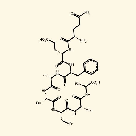 CC[C@H](C)[C@H](NC(=O)[C@@H](NC(=O)[C@H](CC(C)C)NC(=O)[C@@H](NC(=O)[C@H](C)NC(=O)[C@H](Cc1ccccc1)NC(=O)[C@H](CCC(=O)O)NC(=O)[C@@H](N)CCC(N)=O)[C@@H](C)CC)C(C)C)C(=O)O